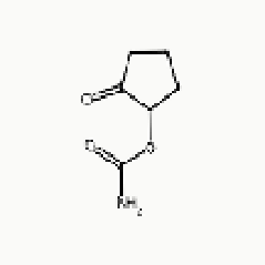 NC(=O)OC1CCCC1=O